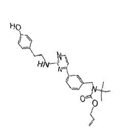 C=CCOC(=O)N(Cc1cccc(-c2ccnc(NCCc3ccc(O)cc3)n2)c1)C(C)(C)C